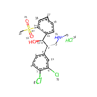 CNC[C@H](c1ccc(Cl)c(Cl)c1)[C@@H](O)c1ccccc1S(C)(=O)=O.Cl